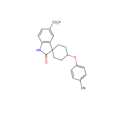 N#Cc1ccc(OC2CCC3(CC2)C(=O)Nc2ccc(C(=O)O)cc23)cc1